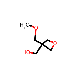 COCC1(CO)COC1